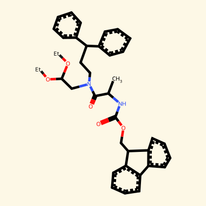 CCOC(CN(CCC(c1ccccc1)c1ccccc1)C(=O)C(C)NC(=O)OCC1c2ccccc2-c2ccccc21)OCC